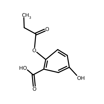 CCC(=O)Oc1ccc(O)cc1C(=O)O